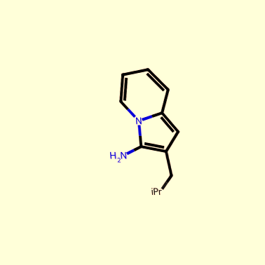 CC(C)Cc1cc2ccccn2c1N